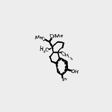 COC(OC)[C@]1(C)CCC[C@]2(C)c3cc(O)c(C(C)C)cc3CCC12